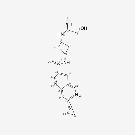 O=C(N[C@H]1C[C@@H](N[C@H](CO)C(F)(F)F)C1)c1cnc2cc(C3CC3)ncc2c1